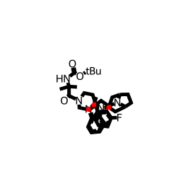 Cc1nc2ccccc2n1C1CC2CCC(C1)N2CCC1(c2cccc(F)c2)CCN(C(=O)C(C)(C)NC(=O)OC(C)(C)C)CC1